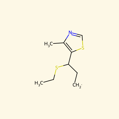 [CH2]CC(SCC)c1scnc1C